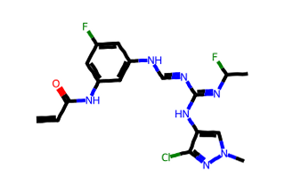 C=CC(=O)Nc1cc(F)cc(N/C=N/C(=N\C(C)F)Nc2cn(C)nc2Cl)c1